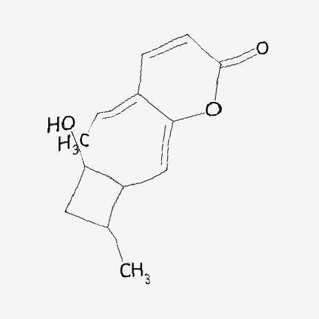 C/C=c1/ccc(=O)o/c1=C/C1C(C)CC1O